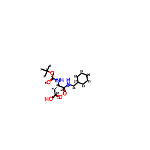 CC(C)(C)OC(=O)N[C@@H](CC(=O)O)C(=O)NCC1CCCCC1